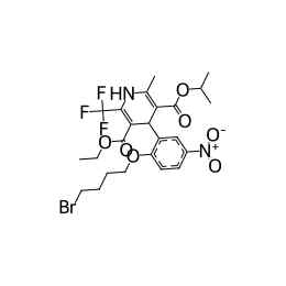 CCOC(=O)C1=C(C(F)(F)F)NC(C)=C(C(=O)OC(C)C)C1c1cc([N+](=O)[O-])ccc1OCCCCBr